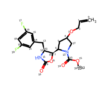 C=CCOC1CC([C@H]2OC(=O)N[C@H]2Cc2cc(F)cc(F)c2)N(C(=O)OC(C)(C)C)C1